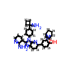 Nc1ncccc1-c1nc2ccc(-c3cccc(N4C5CCC4C(O)C5)c3)nc2n1-c1ccc(C2(N)CCC2)cc1